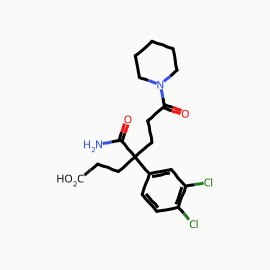 NC(=O)C(CCC(=O)O)(CCC(=O)N1CCCCC1)c1ccc(Cl)c(Cl)c1